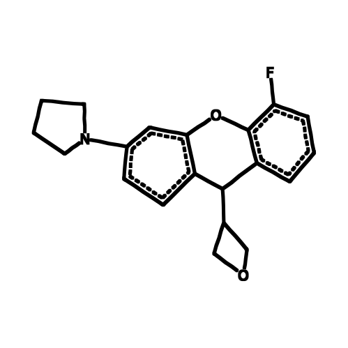 Fc1cccc2c1Oc1cc(N3CCCC3)ccc1C2C1COC1